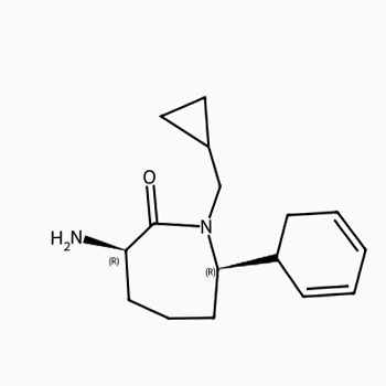 N[C@@H]1CCC[C@H](C2C=CC=CC2)N(CC2CC2)C1=O